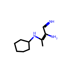 C/C(NC1CCCCC1)=C(\N)C=N